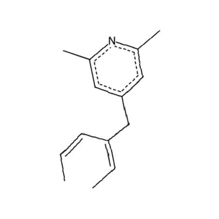 C/C=C\C(=C/C)Cc1cc(C)nc(C)c1